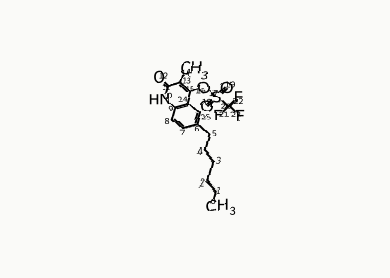 CCCCCCc1ccc2[nH]c(=O)c(C)c(OS(=O)(=O)C(F)(F)F)c2c1